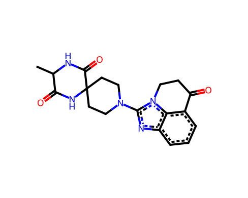 CC1NC(=O)C2(CCN(c3nc4cccc5c4n3CCC5=O)CC2)NC1=O